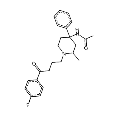 CC(=O)NC1(c2ccccc2)CCN(CCCC(=O)c2ccc(F)cc2)C(C)C1